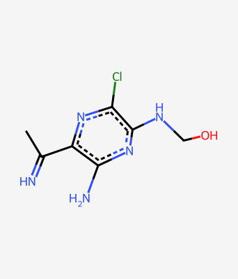 CC(=N)c1nc(Cl)c(NCO)nc1N